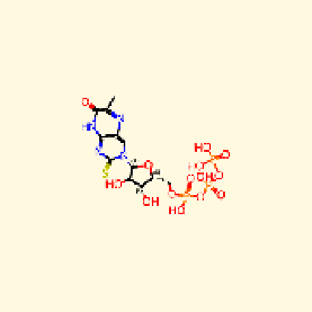 Cc1nc2cn([C@@H]3O[C@H](COP(=O)(O)OP(=O)(O)OP(=O)(O)O)[C@H](O)C3O)c(=S)nc2[nH]c1=O